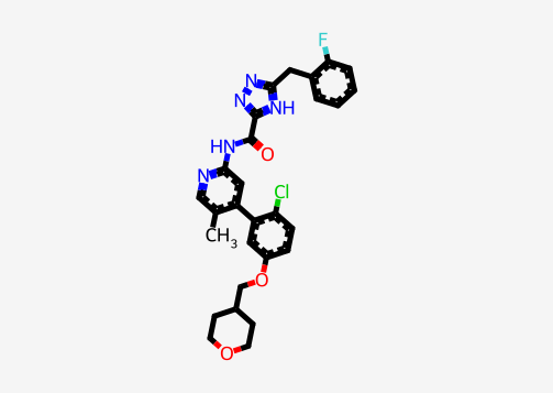 Cc1cnc(NC(=O)c2nnc(Cc3ccccc3F)[nH]2)cc1-c1cc(OCC2CCOCC2)ccc1Cl